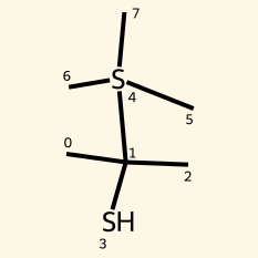 CC(C)(S)S(C)(C)C